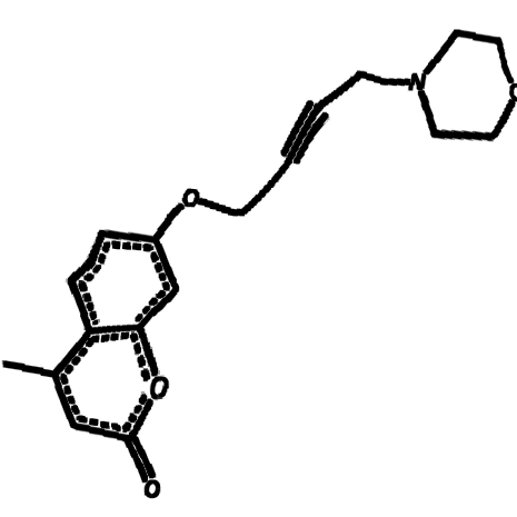 Cc1cc(=O)oc2cc(OCC#CCN3CCOCC3)ccc12